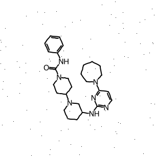 O=C(Nc1ccccc1)N1CCC(N2CCCC(Nc3nccc(N4CCCCCC4)n3)C2)CC1